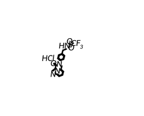 Cl.O=C1c2cnc3cccc(n23)CN1c1ccc(CCNS(=O)(=O)C(F)(F)F)cc1